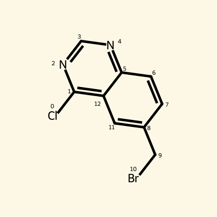 Clc1ncnc2ccc(CBr)cc12